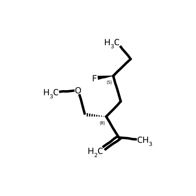 C=C(C)[C@H](COC)C[C@@H](F)CC